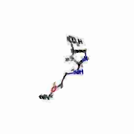 CCCOCCNc1ncc(C(=O)O)s1